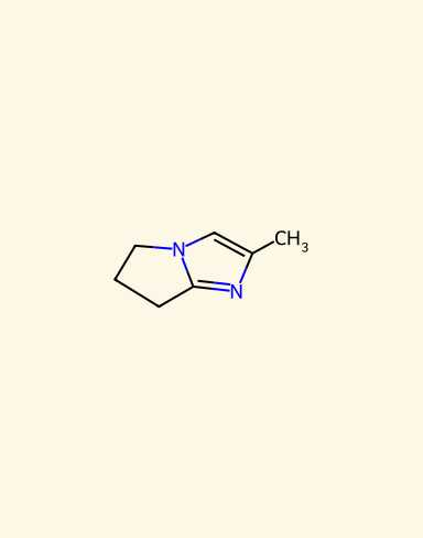 Cc1cn2c(n1)CCC2